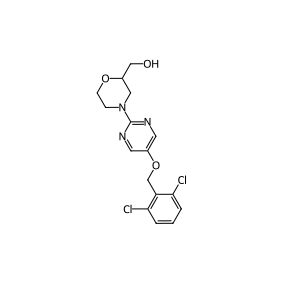 OCC1CN(c2ncc(OCc3c(Cl)cccc3Cl)cn2)CCO1